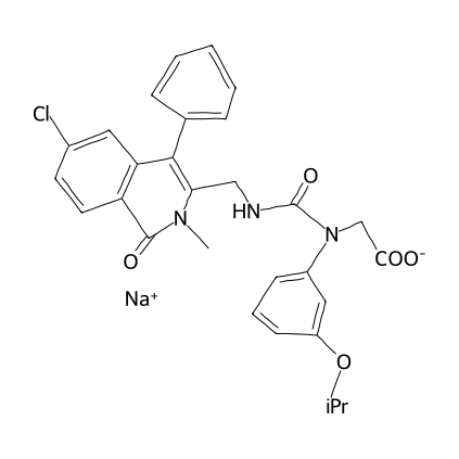 CC(C)Oc1cccc(N(CC(=O)[O-])C(=O)NCc2c(-c3ccccc3)c3cc(Cl)ccc3c(=O)n2C)c1.[Na+]